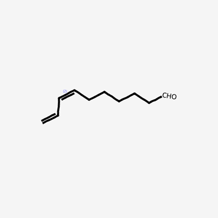 C=C/C=C\CCCCCC=O